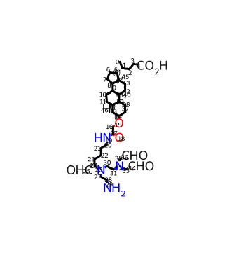 CC(CCC(=O)O)[C@H]1CCC2C3CC[C@@H]4C[C@H](OCC(=O)NCCCC[C@@H](C=O)N(CCN)CCN(CC=O)CC=O)CC[C@]4(C)C3CC[C@@]21C